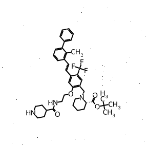 Cc1c(/C=C/c2cc(OCCNC(=O)C3CCNCC3)c(CN3CCCC[C@H]3C(=O)OC(C)(C)C)cc2C(F)(F)F)cccc1-c1ccccc1